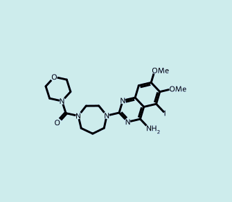 COc1cc2nc(N3CCCN(C(=O)N4CCOCC4)CC3)nc(N)c2c(I)c1OC